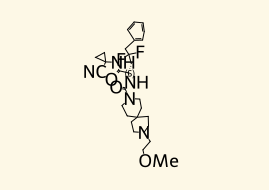 COCCN1CCC2(CC1)CCN(C(=O)N[C@@H](CC(F)(F)Cc1ccccc1)C(=O)NC1(C#N)CC1)CC2